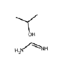 CC(C)O.N=CN